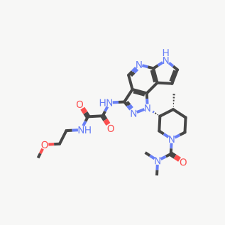 COCCNC(=O)C(=O)Nc1nn([C@H]2CN(C(=O)N(C)C)CC[C@H]2C)c2c1cnc1[nH]ccc12